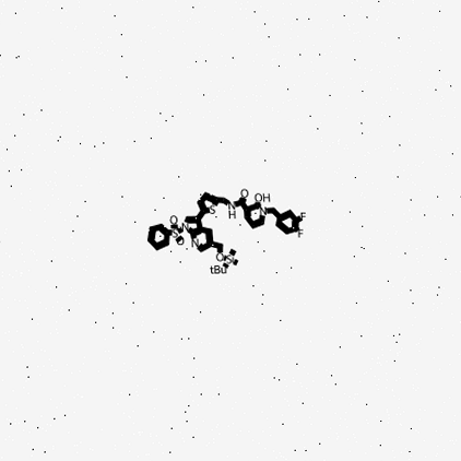 CC(C)(C)[Si](C)(C)OCc1cnc2c(c1)c(-c1ccc(CNC(=O)C3=CC=CN(Cc4ccc(F)c(F)c4)C3O)s1)cn2S(=O)(=O)c1ccccc1